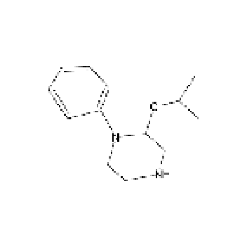 CC(C)OC1CNCCN1c1ccccc1